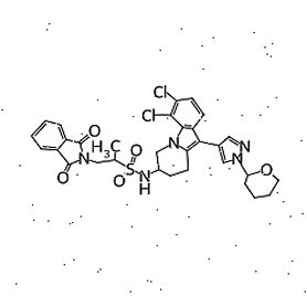 CC(CN1C(=O)c2ccccc2C1=O)S(=O)(=O)NC1CCc2c(-c3cnn(C4CCCCO4)c3)c3ccc(Cl)c(Cl)c3n2C1